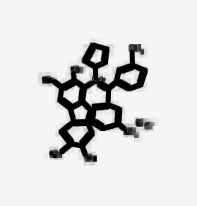 CC(C)(C)c1cc2c(cc1C(C)(C)C)-c1cc(C(C)(C)C)c(C(C)(C)C)[c]([Zr+2](=[C](c3cccc(C(Cl)(Cl)Cl)c3)c3cccc(C(Cl)(Cl)Cl)c3)[CH]3C=CC=C3)c1C2.[Cl-].[Cl-]